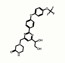 O=C1CN(Cc2cc(C(O)CO)nc(-c3ccc(Oc4ccc(OC(F)(F)F)cc4)cc3)n2)CCN1